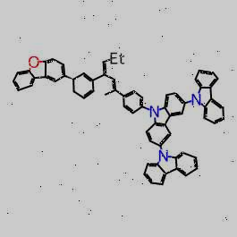 CC/C=C(\C=C(/C)c1ccc(-n2c3ccc(-n4c5ccccc5c5ccccc54)cc3c3cc(-n4c5ccccc5c5ccccc54)ccc32)cc1)C1=C[C@H](c2ccc3oc4ccccc4c3c2)CC=C1